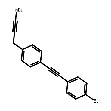 CCCCC#CCc1ccc(C#Cc2ccc(CC)cc2)cc1